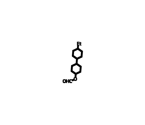 CCC1CCC(C2CCC(OC=O)CC2)CC1